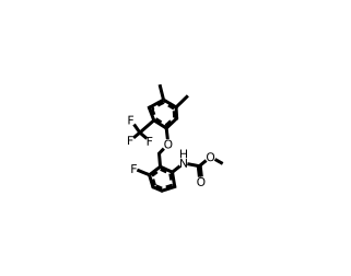 COC(=O)Nc1cccc(F)c1COc1cc(C)c(C)cc1C(F)(F)F